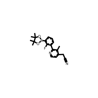 Cc1c(CC#N)ccnc1-c1cccc(B2OC(C)(C)C(C)(C)O2)c1F